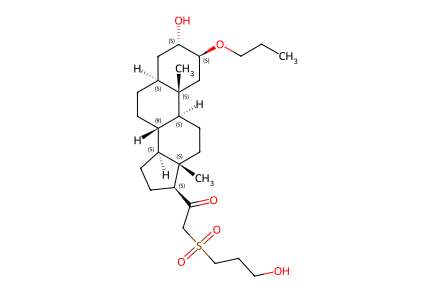 CCCO[C@H]1C[C@@]2(C)[C@@H](CC[C@@H]3[C@@H]2CC[C@]2(C)[C@@H](C(=O)CS(=O)(=O)CCCO)CC[C@@H]32)C[C@@H]1O